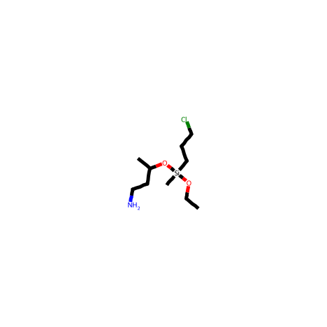 CCO[Si](C)(CCCCl)OC(C)CCN